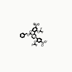 O=C(OCc1ccccc1)N1CCN(c2ccc([N+](=O)[O-])cc2OC(F)F)CC1c1ccc([N+](=O)[O-])cc1OC(F)F